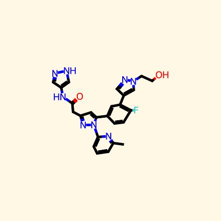 Cc1cccc(-n2nc(CC(=O)Nc3cn[nH]c3)cc2-c2ccc(F)c(-c3cnn(CCO)c3)c2)n1